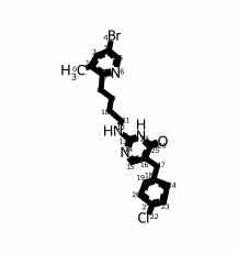 Cc1cc(Br)cnc1CCCCNc1ncc(Cc2ccc(Cl)cc2)c(=O)[nH]1